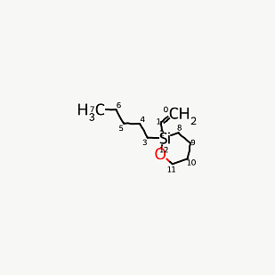 C=C[Si]1(CCCCC)CCCCO1